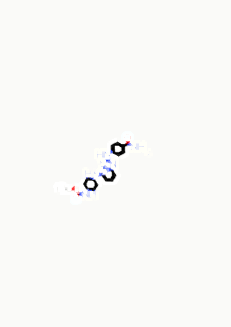 CC(C)(C)OC(=O)NC1CCC(Nc2cccc3nc(Nc4ccc(C(N)=O)cc4)nn23)CC1